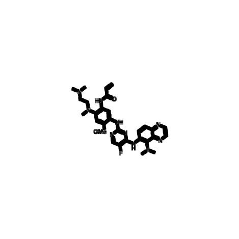 C=CC(=O)Nc1cc(Nc2ncc(F)c(Nc3ccc4nccnc4c3P(C)C)n2)c(OC)cc1N(C)CCN(C)C